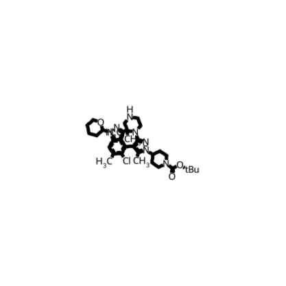 Cc1cc2c(cnn2C2CCCCO2)c(-c2c(N3CCNCC3(C)C)nn(C3CCN(C(=O)OC(C)(C)C)CC3)c2C)c1Cl